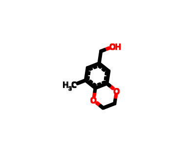 Cc1cc(CO)cc2c1OCCO2